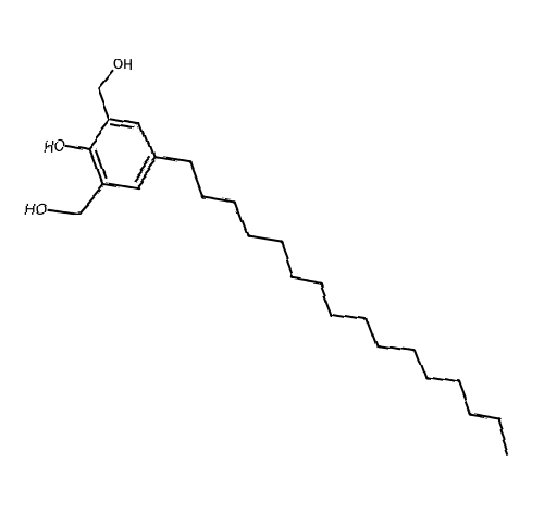 CCCCCCCCCCCCCCCCc1cc(CO)c(O)c(CO)c1